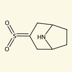 O=S(=O)=C1CC2CCC(C1)N2